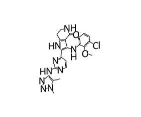 COc1c(Cl)cccc1Nc1c(-c2ccnc(Nc3nnn(C)c3C)n2)[nH]c2c1C(=O)NCC2